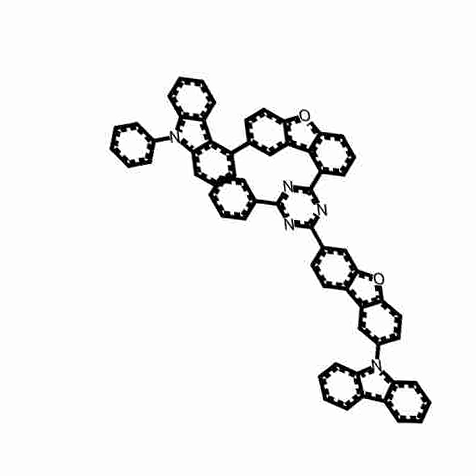 c1ccc(-c2nc(-c3ccc4c(c3)oc3ccc(-n5c6ccccc6c6ccccc65)cc34)nc(-c3cccc4oc5ccc(-c6cccc7c6c6ccccc6n7-c6ccccc6)cc5c34)n2)cc1